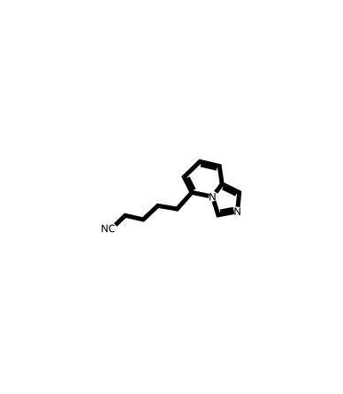 N#CCCCCc1cccc2cncn12